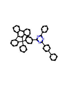 c1ccc(-c2ccc(-c3nc(-c4ccccc4)nc(-c4ccc(C5(c6ccccc6)c6ccccc6-c6c5c5ccccc5c5ccccc65)cc4)n3)cc2)cc1